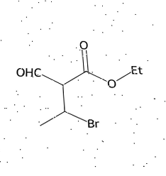 CCOC(=O)C(C=O)C(C)Br